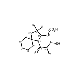 C[C@H](CS)C(=O)N1[C@H](OC(=O)O)C(C)(C)SC12CCCCC2